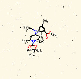 Bc1cc(C(=O)OC)c(C)c(N(CC)C2CC(C)N(C(=O)OC(C)(C)C)[C@H](C)C2)c1